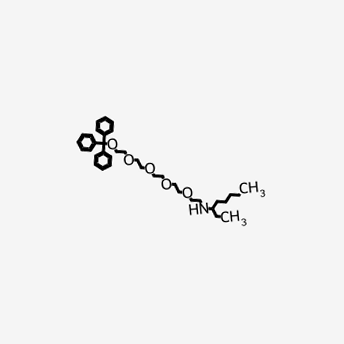 CCCCCC(CC)NCCOCCOCCOCCOCCOC(c1ccccc1)(c1ccccc1)c1ccccc1